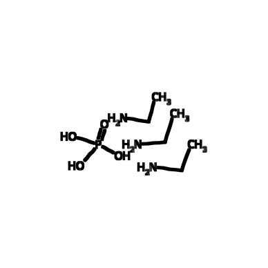 CCN.CCN.CCN.O=P(O)(O)O